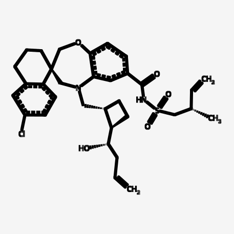 C=CC[C@H](O)[C@@H]1CC[C@H]1CN1C[C@@]2(CCCc3cc(Cl)ccc32)COc2ccc(C(=O)NS(=O)(=O)C[C@@H](C)C=C)cc21